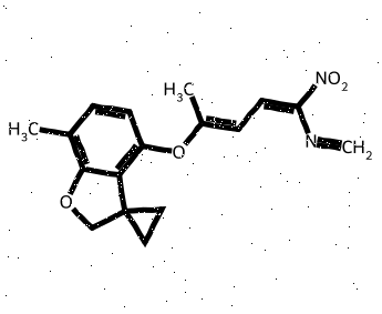 C=N/C(=C\C=C(/C)Oc1ccc(C)c2c1C1(CC1)CO2)[N+](=O)[O-]